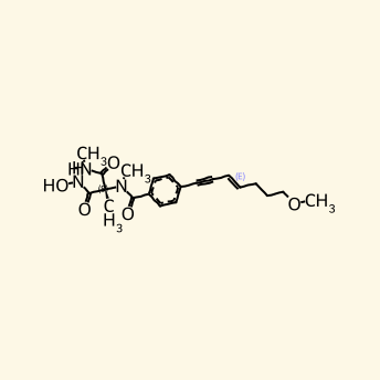 CNC(=O)[C@@](C)(C(=O)NO)N(C)C(=O)c1ccc(C#C/C=C/CCCOC)cc1